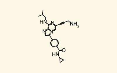 CC(C)CNc1nc(C#CCN)cn2c(-c3ccc(C(=O)NC4CC4)cc3)cnc12